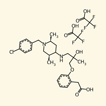 C[C@H]1CN(Cc2ccc(Cl)cc2)[C@@H](C)CC1NCC(C)(O)COc1ccccc1CC(=O)O.O=C(O)C(F)(F)F.O=C(O)C(F)(F)F